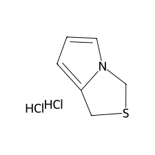 Cl.Cl.c1cc2n(c1)CSC2